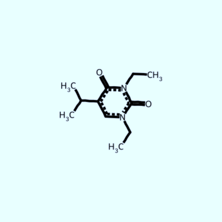 CCn1cc(C(C)C)c(=O)n(CC)c1=O